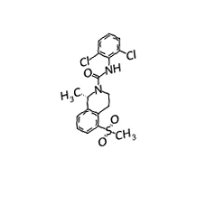 C[C@H]1c2cccc(S(C)(=O)=O)c2CCN1C(=O)Nc1c(Cl)cccc1Cl